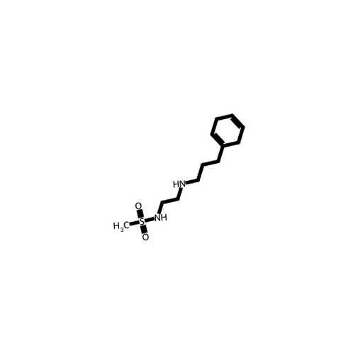 CS(=O)(=O)NCCNCCCC1=CCC=CC1